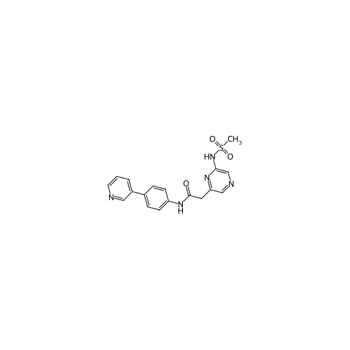 CS(=O)(=O)Nc1cncc(CC(=O)Nc2ccc(-c3cccnc3)cc2)n1